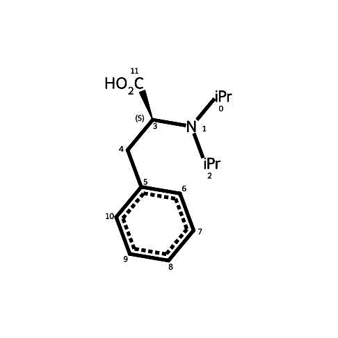 CC(C)N(C(C)C)[C@@H](Cc1ccccc1)C(=O)O